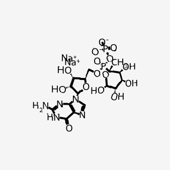 C[C@]1(P(=O)(OC[C@H]2O[C@@H](n3cnc4c(=O)[nH]c(N)nc43)[C@H](O)[C@@H]2O)OP(=O)([O-])[O-])O[C@H](O)[C@@H](O)[C@H](O)[C@@H]1O.[Na+].[Na+]